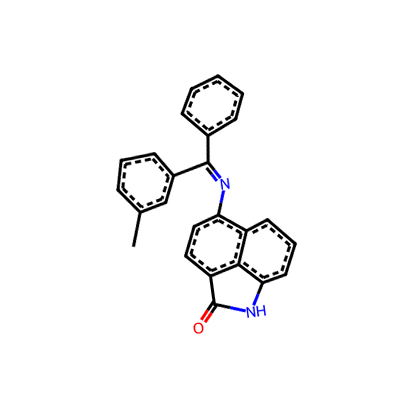 Cc1cccc(/C(=N\c2ccc3c4c(cccc24)NC3=O)c2ccccc2)c1